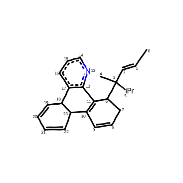 CC=CC(C)(C(C)C)C1CC=CC2=C1c1ncccc1C1C=CC=CC21